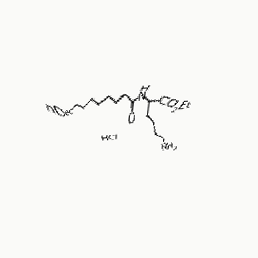 CCCCCCCCCCCCCCCCCC(=O)NC(CCCCN)C(=O)OCC.Cl